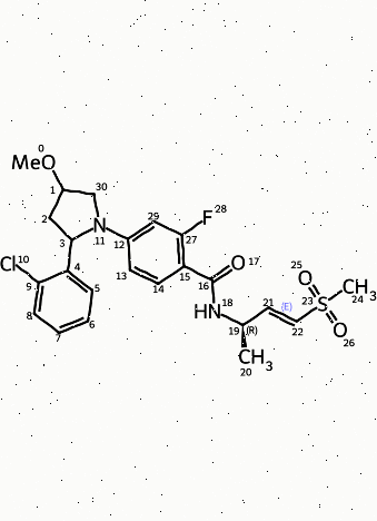 COC1CC(c2ccccc2Cl)N(c2ccc(C(=O)N[C@H](C)/C=C/S(C)(=O)=O)c(F)c2)C1